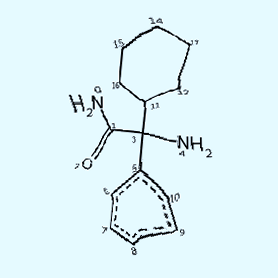 NC(=O)C(N)(c1ccccc1)C1CCCCC1